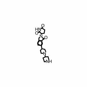 O=C1CCC(N2Cc3ccc(C4CCN(C5CCNCC5)CC4)cc3C2=O)C(=O)N1